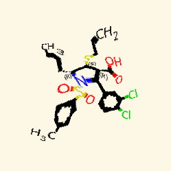 C=CCS[C@@H]1[C@@H](CCCC)N(S(=O)(=O)c2ccc(C)cc2)C(c2ccc(Cl)c(Cl)c2)[C@@H]1C(=O)O